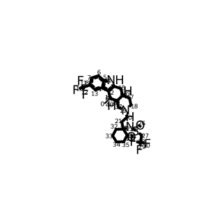 C[C@H]1c2c([nH]c3ccc(C(F)(F)F)cc23)C[C@H]2CCN(CCC3(NS(=O)(=O)CC(F)(F)F)CCCCC3)C[C@@H]21